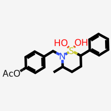 CC(=O)Oc1ccc(CN2C(C)CCC(c3ccccc3)S2(O)O)cc1